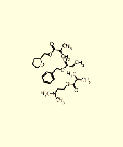 C=C(C)C(=O)OCC1CCCO1.C=C(C)C(=O)OCCN(C)C.C=CC(=O)OCc1ccccc1